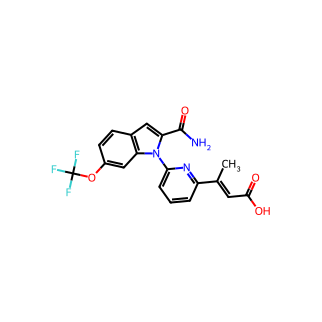 C/C(=C\C(=O)O)c1cccc(-n2c(C(N)=O)cc3ccc(OC(F)(F)F)cc32)n1